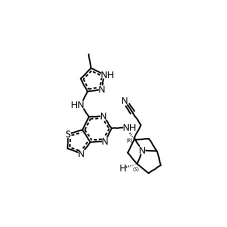 Cc1cc(Nc2nc(N[C@@H]3CC4CC[C@@H](C3)N4CCC#N)nc3ncsc23)n[nH]1